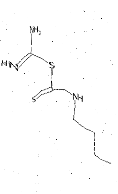 CCCCNC(=S)SC(=N)N